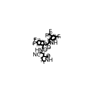 N#CC(CC1CCCNC1=O)NC(=O)C1C2CC(F)(F)CC2CN1C(=O)c1cc2c(C(F)F)cc(F)cc2[nH]1